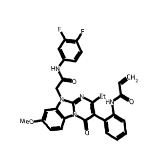 C=CC(=O)Nc1ccccc1-c1c(CC)nc2n(CC(=O)Nc3ccc(F)c(F)c3)c3cc(OC)ccc3n2c1=O